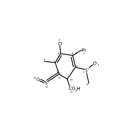 CC1=C(Cl)C(C(C)C)=C([S+](C)[O-])C(C(=O)O)C1=S=O